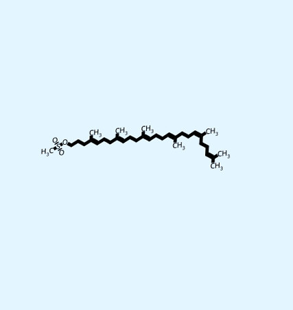 CC(C)=CCCC(C)=CCC/C(C)=C/CC/C=C(\C)CC/C=C(\C)CC/C=C(\C)CCCOS(C)(=O)=O